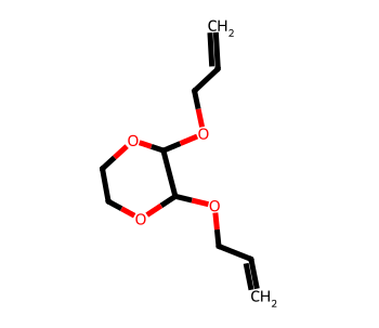 C=CCOC1OCCOC1OCC=C